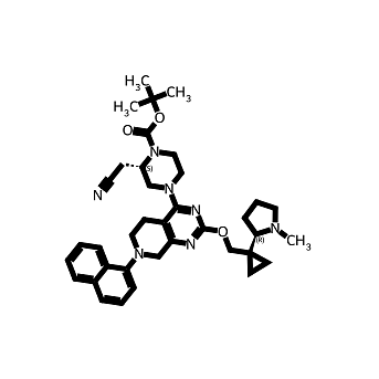 CN1CCC[C@@H]1C1(COc2nc3c(c(N4CCN(C(=O)OC(C)(C)C)[C@@H](CC#N)C4)n2)CCN(c2cccc4ccccc24)C3)CC1